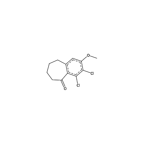 COc1cc2c(c(Cl)c1Cl)C(=O)CCCC2